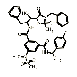 C[C@@H](NC(=O)c1cc(C(=O)N[C@@H](Cc2ccccc2)C(O)C2NC(C)(C)N(Cc3ccccc3)C2=O)cc(N(C)S(C)(=O)=O)c1)c1ccc(F)cc1